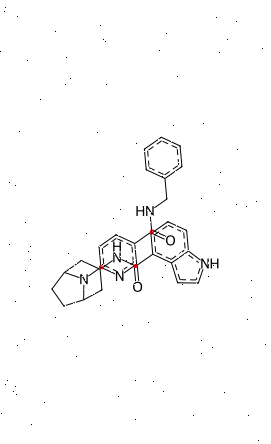 O=C(NCc1ccccc1)c1ccc(N2C3CCC2CC(NC(=O)c2cccc4[nH]ccc24)C3)nc1